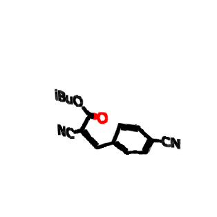 CC(C)COC(=O)C(C#N)=Cc1ccc(C#N)cc1